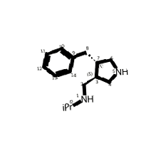 CC(C)NC[C@@H]1CNC[C@H]1Cc1ccccc1